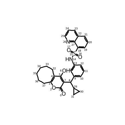 O=c1oc2c(c(O)c1C(c1cccc(NS(=O)(=O)c3cccc4cccnc34)c1)C1CC1)CCCCCC2